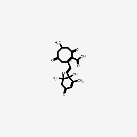 CC1=CC(=O)CC(C)(C)C1(O)C=C/C1=C(\C(=O)O)C(=O)CC(C)CC(=O)C1